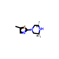 Cc1cnc(N2C[C@@H](C)N[C@@H](C)C2)s1